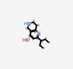 Br.CCC(CC)c1ccc2c(n1)CCNC2